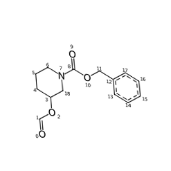 O=COC1CCCN(C(=O)OCc2ccccc2)C1